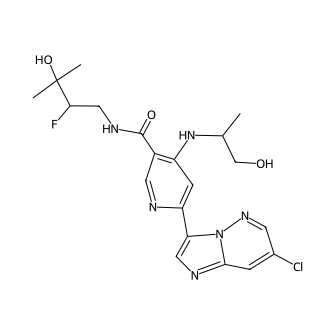 CC(CO)Nc1cc(-c2cnc3cc(Cl)cnn23)ncc1C(=O)NCC(F)C(C)(C)O